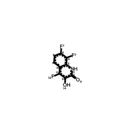 O=c1[nH]c2c(F)c(F)ccc2c(F)c1O